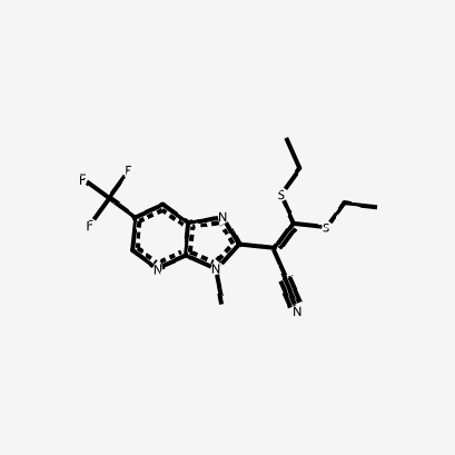 CCSC(SCC)=C(C#N)c1nc2cc(C(F)(F)F)cnc2n1C